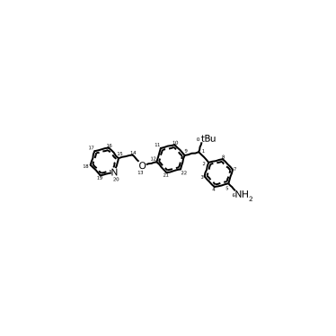 CC(C)(C)C(c1ccc(N)cc1)c1ccc(OCc2ccccn2)cc1